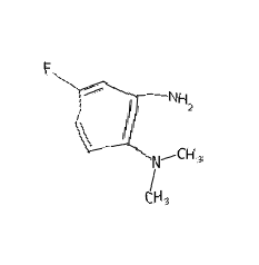 CN(C)c1ccc(F)cc1N